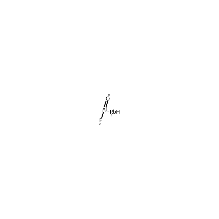 [O]=[Al][F].[RbH]